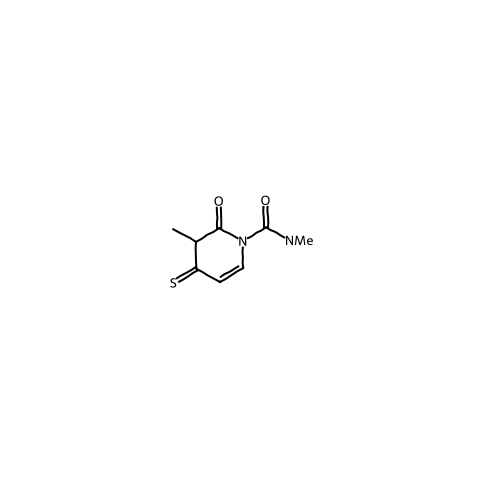 CNC(=O)N1C=CC(=S)C(C)C1=O